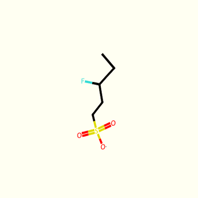 CCC(F)CCS([O])(=O)=O